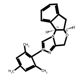 Cc1cc(C)c(-[n+]2cn3c(n2)CO[C@@H]2Cc4ccccc4[C@@H]23)c(C)c1